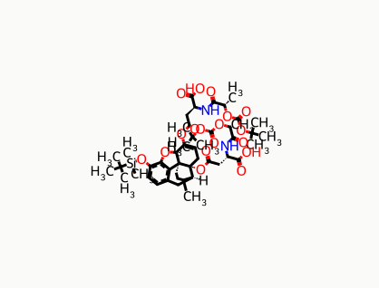 CC1CC[C@]23c4c5ccc(O[Si](C)(C)C(C)(C)C)c4O[C@H]2C(OC(=O)C[C@H](NC(=O)[C@H](C)OC(=O)OC(C)(C)C)C(=O)O)=CC[C@@]3(OC(=O)C[C@H](NC(=O)[C@H](C)OC(=O)OC(C)(C)C)C(=O)O)[C@H]1C5